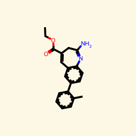 CCOC(=O)C1=Cc2cc(-c3ccccc3C)ccc2N=C(N)C1